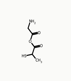 CC(S)C(=O)OC(=O)CN